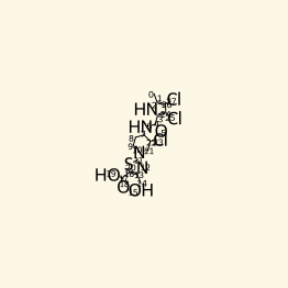 Cc1[nH]c(C(=O)N[C@@H]2CCN(c3nc(CO)c(C(=O)O)s3)C[C@@H]2Cl)c(Cl)c1Cl